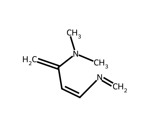 C=N/C=C\C(=C)N(C)C